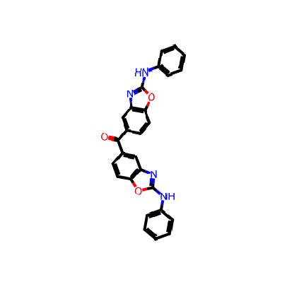 O=C(c1ccc2oc(Nc3ccccc3)nc2c1)c1ccc2oc(Nc3ccccc3)nc2c1